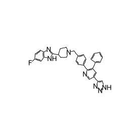 Fc1ccc2nc(C3CCN(Cc4ccc(-c5ncc(-c6c[nH]nn6)cc5-c5ccccc5)cc4)CC3)[nH]c2c1